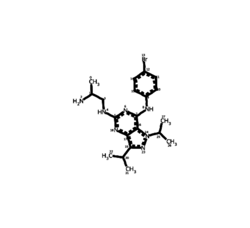 CC(N)CNc1nc(Nc2ccc(Br)cc2)c2c(n1)c(C(C)C)nn2C(C)C